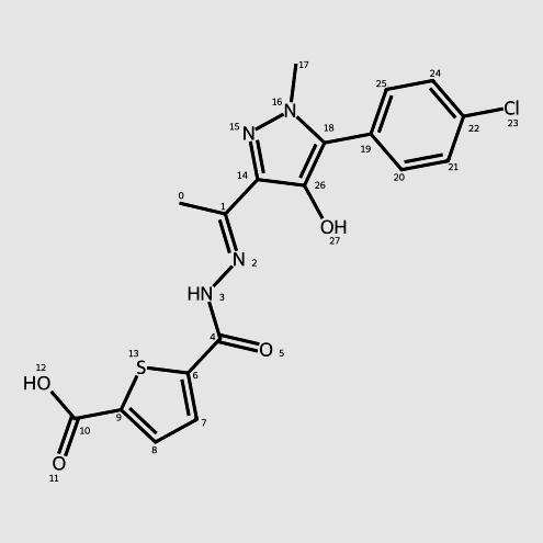 CC(=NNC(=O)c1ccc(C(=O)O)s1)c1nn(C)c(-c2ccc(Cl)cc2)c1O